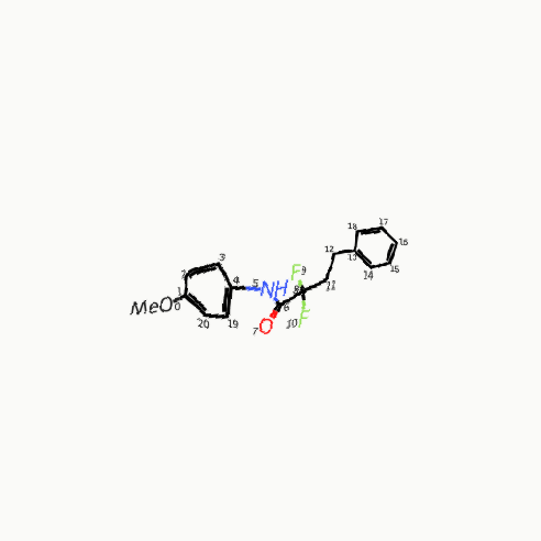 COc1ccc(NC(=O)C(F)(F)CCc2ccccc2)cc1